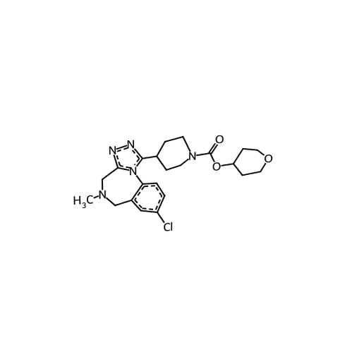 CN1Cc2cc(Cl)ccc2-n2c(nnc2C2CCN(C(=O)OC3CCOCC3)CC2)C1